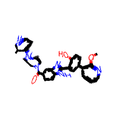 COc1ncccc1-c1ccc(O)c(-c2nc3cc(C(=O)N4CCN(c5ccncc5C)CC4)ccc3[nH]2)c1